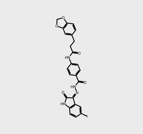 O=C(CCc1ccc2c(c1)OCO2)Nc1ccc(C(=O)N/N=C2\C(=O)Nc3ccc(I)cc32)cc1